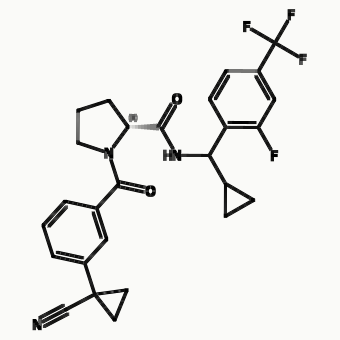 N#CC1(c2cccc(C(=O)N3CCC[C@@H]3C(=O)NC(c3ccc(C(F)(F)F)cc3F)C3CC3)c2)CC1